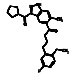 CCc1ccc(F)cc1CCCC(=O)c1cc2c(C(=O)C3CCCC3)n[nH]c2cc1C